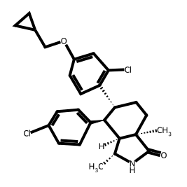 C[C@H]1NC(=O)[C@]2(C)CC[C@@H](c3ccc(OCC4CC4)cc3Cl)[C@H](c3ccc(Cl)cc3)[C@H]12